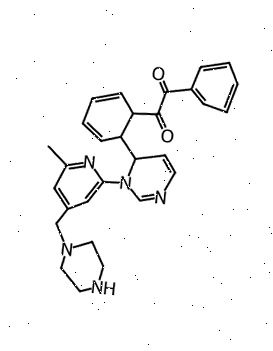 Cc1cc(CN2CCNCC2)cc(N2C=NC=CC2C2C=CC=CC2C(=O)C(=O)c2ccccc2)n1